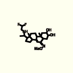 CO/N=C1\C=C2C(CCC3(C)C2CCC3C(C)NCC(F)F)C2(C)CC(O)C(O)CC12